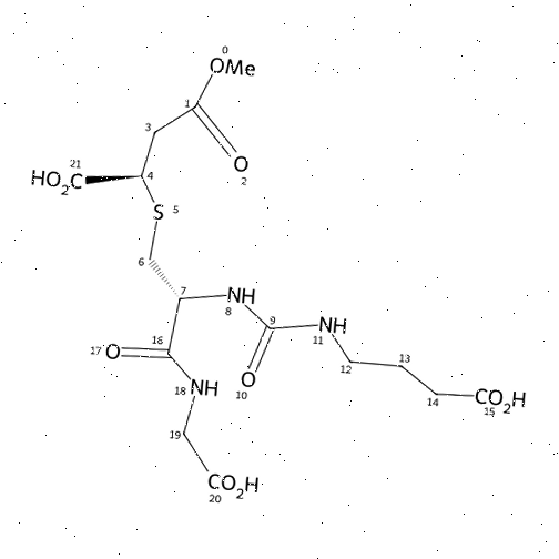 COC(=O)C[C@@H](SC[C@H](NC(=O)NCCCC(=O)O)C(=O)NCC(=O)O)C(=O)O